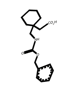 O=C(O)CC1(CNC(=O)OCc2ccccc2)CCCCC1